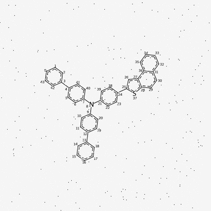 c1ccc(-c2ccc(N(c3ccc(-c4ccccc4)cc3)c3ccc(-c4cc5c(ccc6ccccc65)s4)cc3)cc2)cc1